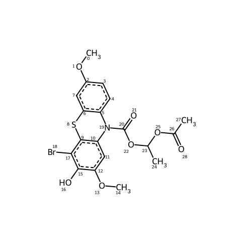 COc1ccc2c(c1)Sc1c(cc(OC)c(O)c1Br)N2C(=O)OC(C)OC(C)=O